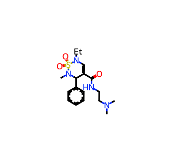 CCN1C=C(C(=O)NCCN(C)C)C(c2ccccc2)N(C)S1(=O)=O